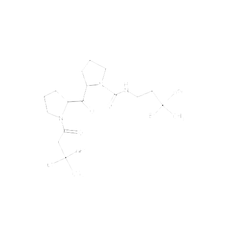 CCCC(C)(CC)CCNC(=O)N1CCCC1C(=O)C1CCCN1C(=O)CC(C)(CC)CCC